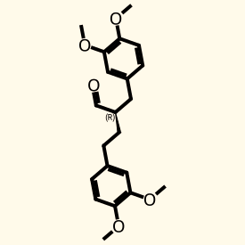 COc1ccc(CC[C@@H](C=O)Cc2ccc(OC)c(OC)c2)cc1OC